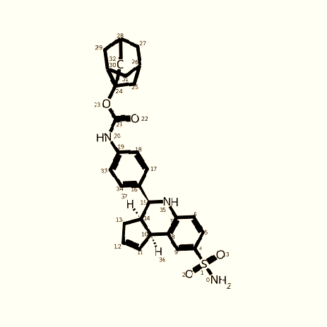 NS(=O)(=O)c1ccc2c(c1)[C@H]1C=CC[C@H]1[C@@H](c1ccc(NC(=O)OC34CC5CC(CC3C5)C4)cc1)N2